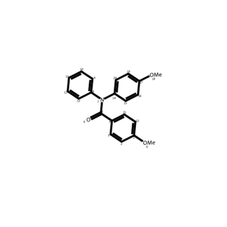 COc1ccc(C(=O)N(c2ccccc2)c2ccc(OC)cc2)cc1